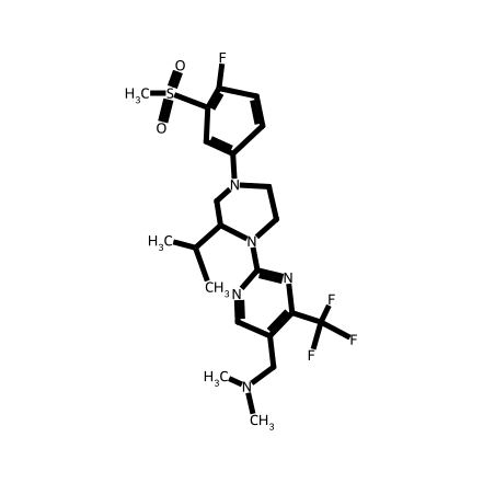 CC(C)C1CN(c2ccc(F)c(S(C)(=O)=O)c2)CCN1c1ncc(CN(C)C)c(C(F)(F)F)n1